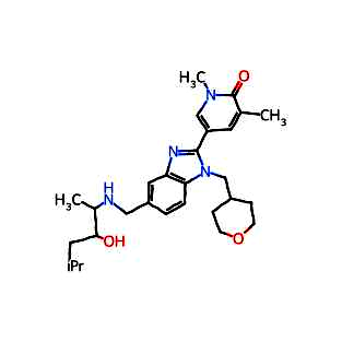 Cc1cc(-c2nc3cc(CNC(C)C(O)CC(C)C)ccc3n2CC2CCOCC2)cn(C)c1=O